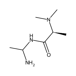 CC(N)NC(=O)[C@H](C)N(C)C